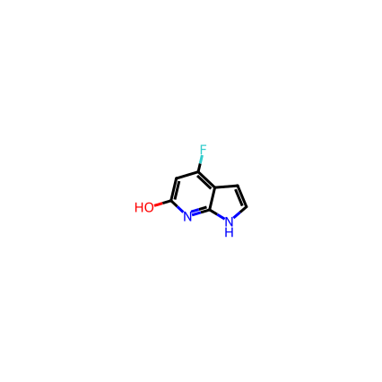 Oc1cc(F)c2cc[nH]c2n1